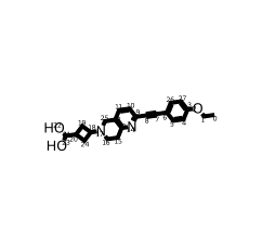 CCOc1ccc(C#Cc2ccc3c(n2)CCN(C2CC(C(O)O)C2)C3)cc1